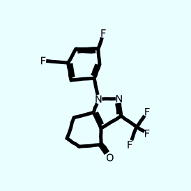 O=C1CCCc2c1c(C(F)(F)F)nn2-c1cc(F)cc(F)c1